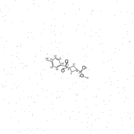 COC(=O)C1CC(S(=O)(=O)c2ccc(C)cc2)C1